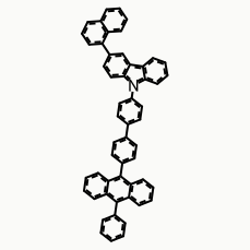 c1ccc(-c2c3ccccc3c(-c3ccc(-c4ccc(-n5c6ccccc6c6cc(-c7cccc8ccccc78)ccc65)cc4)cc3)c3ccccc23)cc1